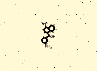 CN(C)c1ccc(C(O)c2cccc(N)c2)c2ccccc12